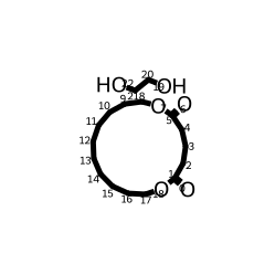 O=C1CCCC(=O)OCCCCCCCCCCO1.OCCO